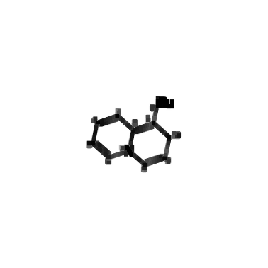 CCC(C)C1=C2C=CC=CN2C=CC1